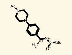 CC(=O)N1CCN(c2ccc([C@@H](C)N[S+]([O-])C(C)(C)C)cc2)CC1